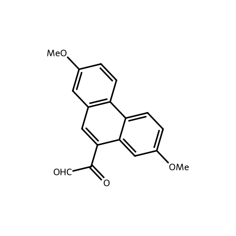 COc1ccc2c(c1)cc(C(=O)C=O)c1cc(OC)ccc12